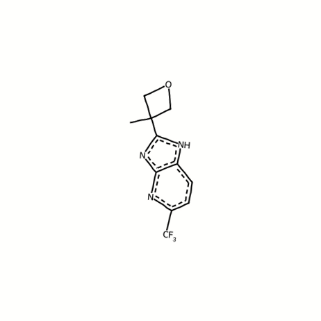 CC1(c2nc3nc(C(F)(F)F)ccc3[nH]2)COC1